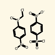 O=[N+]([O-])c1ccc(S(=O)(=O)Cl)cc1.O=[N+]([O-])c1ccc([S+]([O-])CCl)cc1